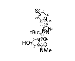 CNC(=O)[C@H]1CC(O)CN1C(=O)C(n1cc(CN2CC[S+]([O-])CC2)nn1)C(C)(C)C